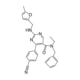 CCN(Cc1ccccc1)C(=O)c1cnc(NCc2ccc(C)o2)nc1-c1ccc(C#N)cc1